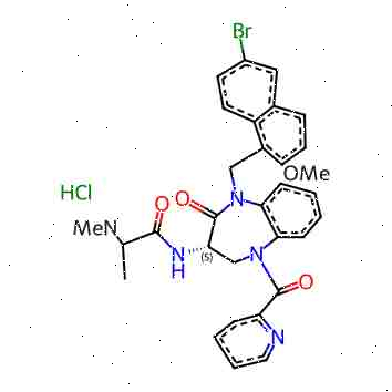 CNC(C)C(=O)N[C@H]1CN(C(=O)c2ccccn2)c2ccccc2N(Cc2c(OC)ccc3cc(Br)ccc23)C1=O.Cl